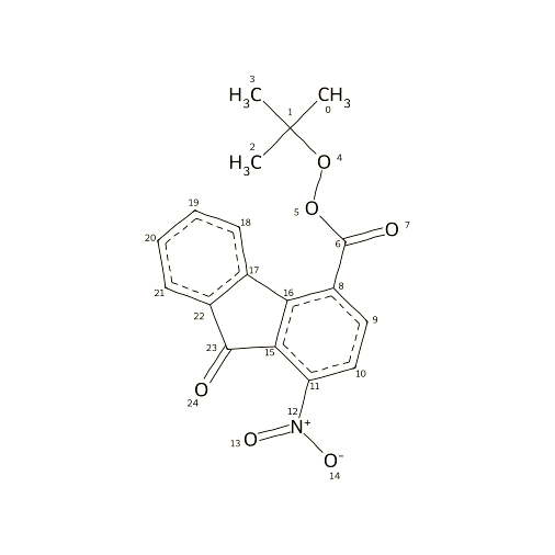 CC(C)(C)OOC(=O)c1ccc([N+](=O)[O-])c2c1-c1ccccc1C2=O